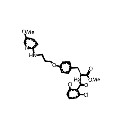 COC(=O)[C@H](Cc1ccc(OCCCNc2ccc(OC)cn2)cc1)NC(=O)c1c(Cl)cccc1Cl